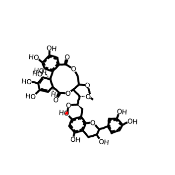 COC1COC(=O)c2cc(O)c(O)c(O)c2[C@@H]2C(O)=C(O)C(O)=C[C@@H]2C(=O)OC1[C@H](OC)[C@@H](Cc1c(O)cc(O)c2c1OC(c1ccc(O)c(O)c1)C(O)C2)OC